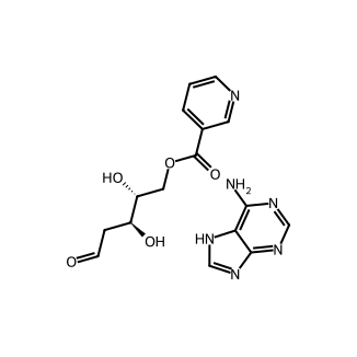 Nc1ncnc2nc[nH]c12.O=CC[C@H](O)[C@H](O)COC(=O)c1cccnc1